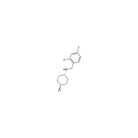 CC[C@H]1CC[C@H](NCc2ccc(F)cc2F)CC1